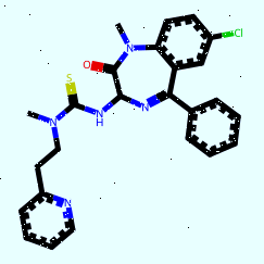 CN(CCc1ccccn1)C(=S)NC1N=C(c2ccccc2)c2cc(Cl)ccc2N(C)C1=O